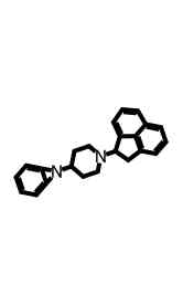 c1ccc2c(c1)N2C1CCN(C2Cc3cccc4cccc2c34)CC1